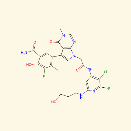 Cn1cnc2c(c(-c3cc(C(N)=O)c(O)c(F)c3F)cn2CC(=O)Nc2cc(NCCCO)nc(F)c2Cl)c1=O